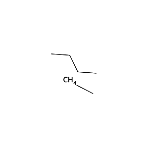 C.CC.CCCC